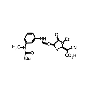 CCn1c(=O)c(=C=CNc2cccc(N(C)C(=O)C(C)(C)C)c2)s/c1=C(/C#N)C(=O)O